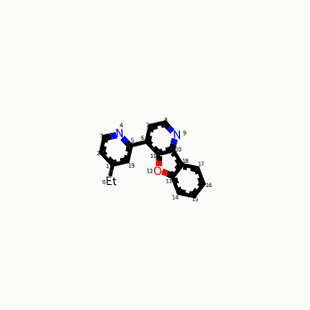 CCc1ccnc(-c2ccnc3c2oc2ccccc23)c1